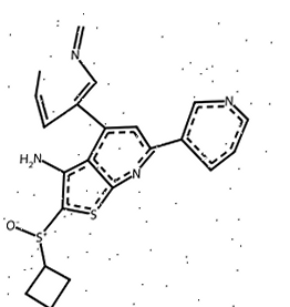 C=N/C=C(\C=C/C)c1cc(-c2cccnc2)nc2sc([S+]([O-])C3CCC3)c(N)c12